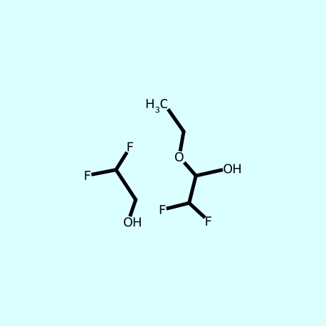 CCOC(O)C(F)F.OCC(F)F